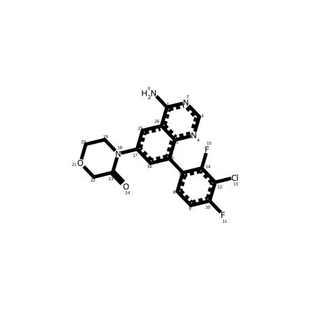 Nc1ncnc2c(-c3ccc(F)c(Cl)c3F)cc(N3CCOCC3=O)cc12